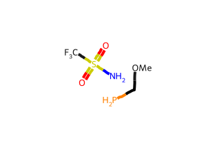 COCP.NS(=O)(=O)C(F)(F)F